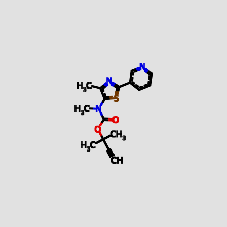 C#CC(C)(C)OC(=O)N(C)c1sc(-c2cccnc2)nc1C